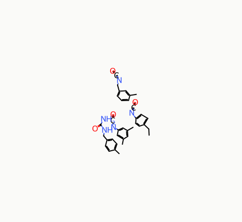 CCc1ccc(N=C=O)cc1.Cc1cc(C)cc(N=C=O)c1.Cc1ccc(CNC(N)=O)cc1.Cc1cccc(CN=C=O)c1